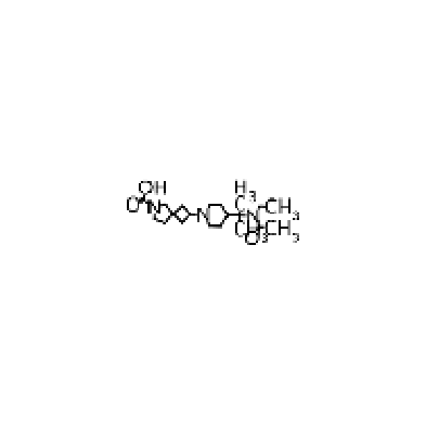 CCN(C(C)=O)C(C)(C)C1CCN(C2CC3(CCN(C(=O)O)C3)C2)CC1